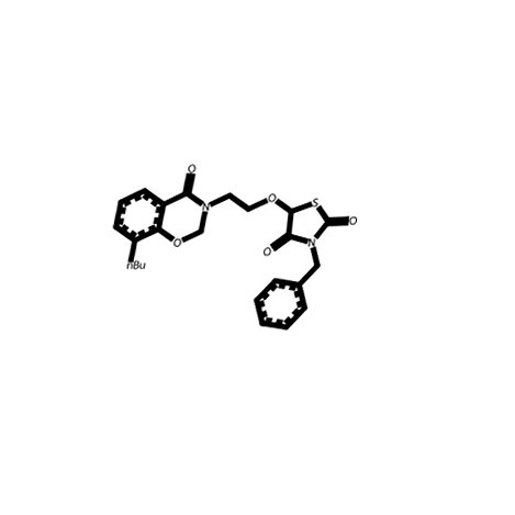 CCCCc1cccc2c1OCN(CCOC1SC(=O)N(Cc3ccccc3)C1=O)C2=O